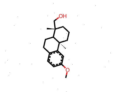 COc1ccc2c(c1)[C@]1(C)CCC[C@@](C)(CO)C1CC2